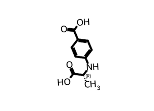 C[C@@H](Nc1ccc(C(=O)O)cc1)C(=O)O